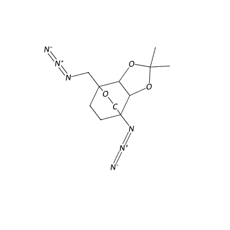 CC1(C)OC2C(O1)C1(CN=[N+]=[N-])CCC2(N=[N+]=[N-])CO1